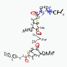 CCOC(=O)CCC(=O)c1cc2cc(OC)c(OCCCOc3cc4sc(C(=O)N(C)Cc5ccn(C)n5)cc4cc3OC)cc2s1